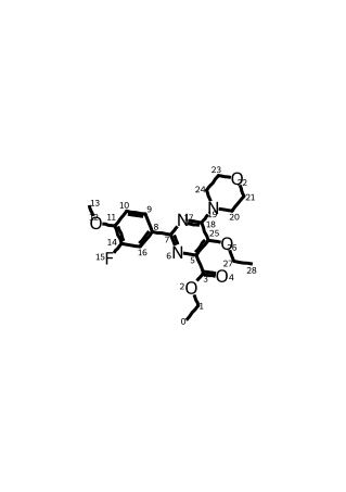 CCOC(=O)c1nc(-c2ccc(OC)c(F)c2)nc(N2CCOCC2)c1OCC